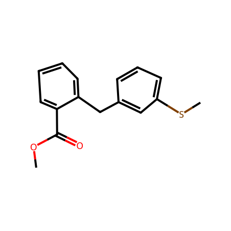 COC(=O)c1ccccc1Cc1cccc(SC)c1